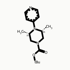 C[C@@H]1CN(C(=O)OC(C)(C)C)C[C@H](C)N1c1ccncc1